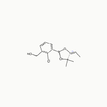 C/C=C1/OB(c2cccc(CO)c2Cl)OC1(C)C